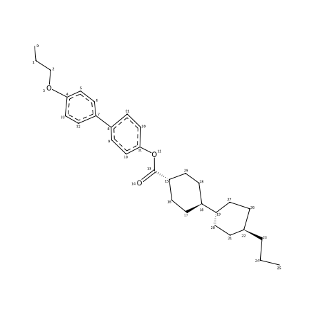 CCCOc1ccc(-c2ccc(OC(=O)[C@H]3CC[C@H]([C@H]4CC[C@H](CCC)CC4)CC3)cc2)cc1